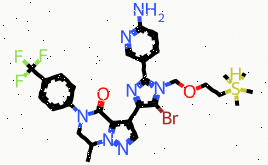 CC1CN(c2ccc(C(F)(F)F)cc2)C(=O)c2c(-c3nc(-c4ccc(N)nc4)n(COCC[SH](C)(C)(C)C)c3Br)cnn21